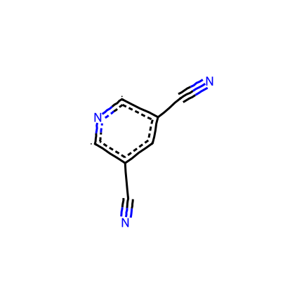 N#Cc1[c]n[c]c(C#N)c1